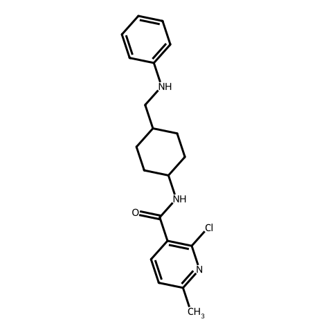 Cc1ccc(C(=O)NC2CCC(CNc3ccccc3)CC2)c(Cl)n1